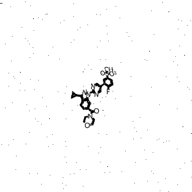 CS(=O)(=O)c1ccc(F)c(-c2cnc(-n3nc(C4CC4)c4ccc(C(=O)N5CCOCC5)cc43)nc2)c1